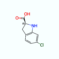 O=C(O)[C@@H]1Cc2ccc(Cl)cc2N1